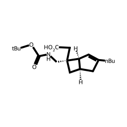 CCCCC1=C[C@H]2[C@@H](C1)C[C@@]2(CNC(=O)OC(C)(C)C)CC(=O)O